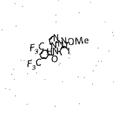 COc1nn(-c2ncccn2)c(C(C)NC(=O)c2cc(C(F)(F)F)cc(C(F)(F)F)c2)c1I